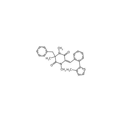 Cc1ccsc1-c1ccccc1C=C1C(=O)N(C)C(C)(Cc2ccccc2)C(=O)N1C